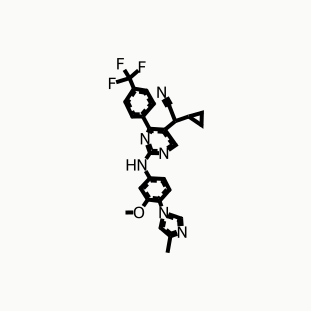 COc1cc(Nc2ncc(C(C#N)C3CC3)c(-c3ccc(C(F)(F)F)cc3)n2)ccc1-n1cnc(C)c1